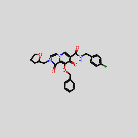 O=C(NCc1ccc(F)cc1)c1cn2ccn(CC3CCCO3)c(=O)c2c(OCc2ccccc2)c1=O